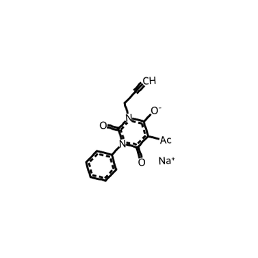 C#CCn1c([O-])c(C(C)=O)c(=O)n(-c2ccccc2)c1=O.[Na+]